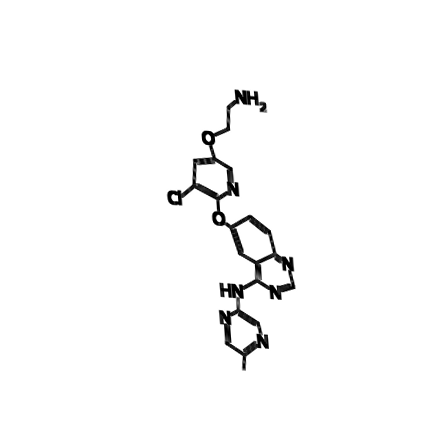 Cc1cnc(Nc2ncnc3ccc(Oc4ncc(OCCN)cc4Cl)cc23)cn1